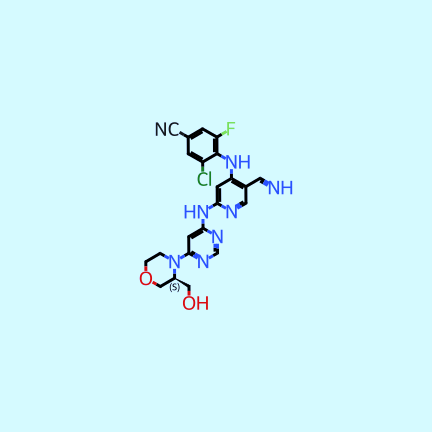 N#Cc1cc(F)c(Nc2cc(Nc3cc(N4CCOC[C@@H]4CO)ncn3)ncc2C=N)c(Cl)c1